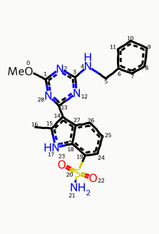 COc1nc(NCc2ccccc2)nc(-c2c(C)[nH]c3c(S(N)(=O)=O)cccc23)n1